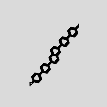 Fc1ccc(-c2ccc(-c3ccc4cc(-c5ccc(-c6ccc(I)cc6)cc5)ccc4c3)cc2)cc1